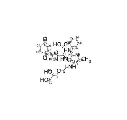 Cc1cc(NCCOCC(O)CO)c(NCc2ncc(-c3cc(Cl)ccc3Cl)o2)c(Nc2ccccc2C(=O)O)n1